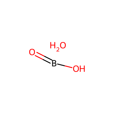 O.O=BO